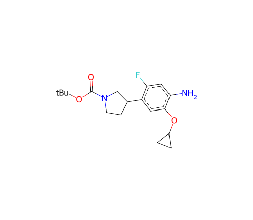 CC(C)(C)OC(=O)N1CCC(c2cc(OC3CC3)c(N)cc2F)C1